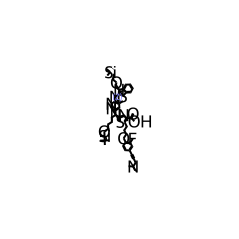 Cc1cc(N(CCCCO[Si](C)(C)C(C)(C)C)c2nc(C(=O)O)c(CCCOc3ccc(C#CCN(C)C)cc3F)s2)nnc1/N=c1\sc2ccccc2n1COCC[Si](C)(C)C